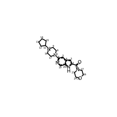 O=C(c1cc2cc(N3CCN(C4CCCC4)CC3)ncc2[nH]1)N1CCOCC1